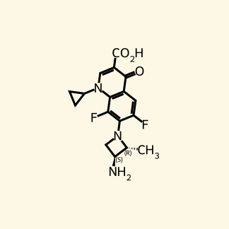 C[C@@H]1[C@@H](N)CN1c1c(F)cc2c(=O)c(C(=O)O)cn(C3CC3)c2c1F